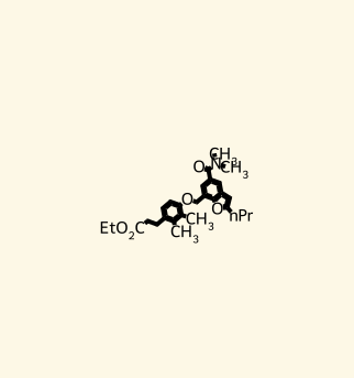 CCCc1cc2cc(C(=O)N(C)C)cc(COc3ccc(CCC(=O)OCC)c(C)c3C)c2o1